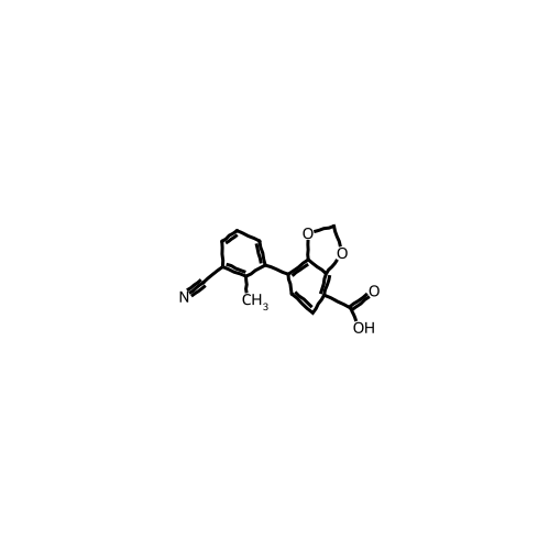 Cc1c(C#N)cccc1-c1ccc(C(=O)O)c2c1OCO2